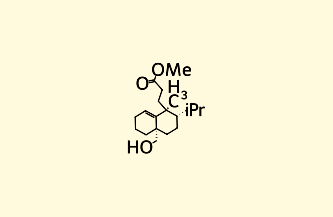 COC(=O)CC[C@]1(C)C2=CCCC[C@]2(CO)CC[C@H]1C(C)C